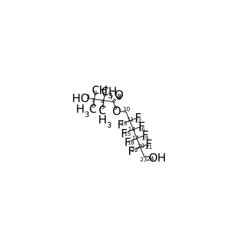 CC(C)(O)C(C)(C)C(=O)OCC(F)(F)C(F)(F)C(F)(F)C(F)(F)CO